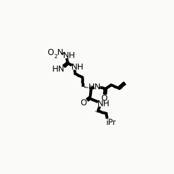 C=CCC(=O)N[C@@H](CCCNC(=N)N[N+](=O)[O-])C(=O)N[CH]CC(C)C